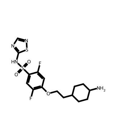 NC1CCC(CCOc2cc(F)c(S(=O)(=O)Nc3ncns3)cc2F)CC1